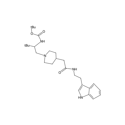 CC(C)(C)OC(=O)NC(CN1CCC(CC(=O)NCCc2c[nH]c3ccccc23)CC1)C(C)(C)C